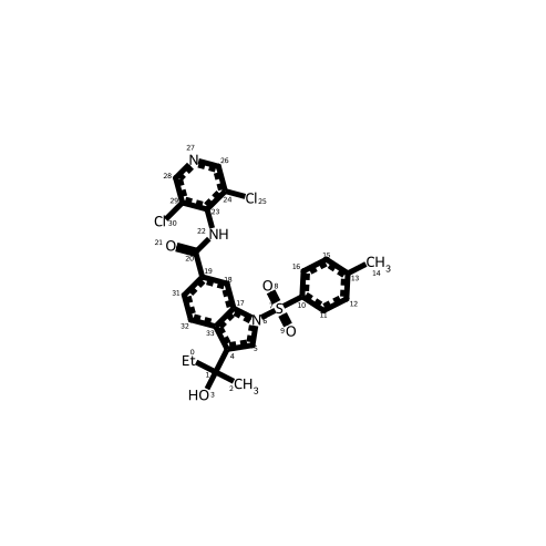 CCC(C)(O)c1cn(S(=O)(=O)c2ccc(C)cc2)c2cc(C(=O)Nc3c(Cl)cncc3Cl)ccc12